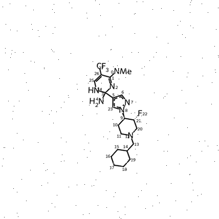 CNC1=NC(N)(c2cnn([C@@H]3CCN(CC4CCCCC4)C[C@H]3F)c2)NC=C1C(F)(F)F